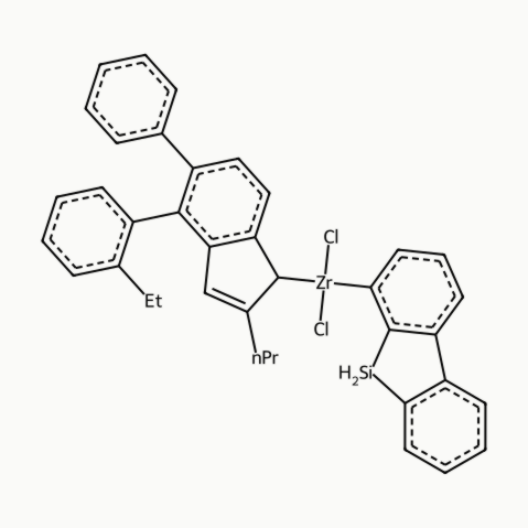 CCCC1=Cc2c(ccc(-c3ccccc3)c2-c2ccccc2CC)[CH]1[Zr]([Cl])([Cl])[c]1cccc2c1[SiH2]c1ccccc1-2